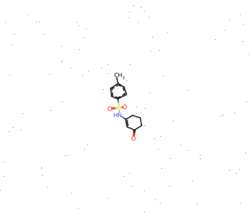 Cc1ccc(S(=O)(=O)NC2=CC(=O)CCC2)cc1